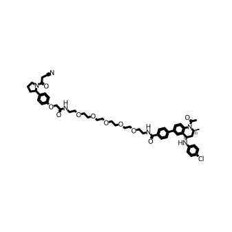 CC(=O)N1c2ccc(-c3ccc(C(=O)NCCOCCOCCOCCOCCOCCNC(=O)COc4ccc(C5CCCN5C(=O)CC#N)cc4)cc3)cc2[C@H](Nc2ccc(Cl)cc2)C[C@@H]1C